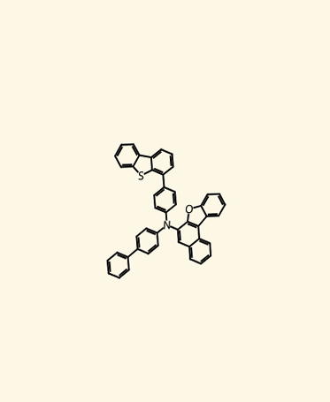 c1ccc(-c2ccc(N(c3ccc(-c4cccc5c4sc4ccccc45)cc3)c3cc4ccccc4c4c3oc3ccccc34)cc2)cc1